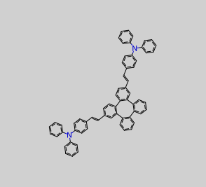 C(=C\c1ccc2c(c1)-c1ccccc1-c1ccccc1-c1cc(/C=C/c3ccc(N(c4ccccc4)c4ccccc4)cc3)ccc1-2)/c1ccc(N(c2ccccc2)c2ccccc2)cc1